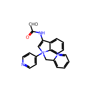 O=CC(=O)NC1=C[N+](Cc2ccccn2)(c2ccncc2)c2ccccc21